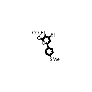 CCOC(=O)c1c(CC)cc(-c2ccc(SC)cc2)oc1=O